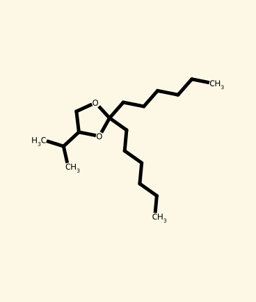 CCCCCCC1(CCCCCC)OCC(C(C)C)O1